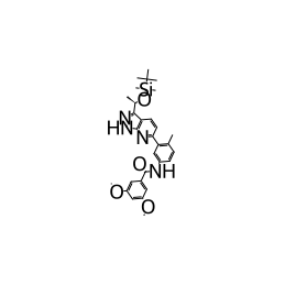 COc1cc(OC)cc(C(=O)Nc2ccc(C)c(-c3ccc4c([C@@H](C)O[Si](C)(C)C(C)(C)C)n[nH]c4n3)c2)c1